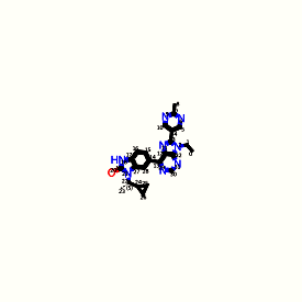 CCn1c(-c2cnc(C)nc2)nc2c(-c3ccc4[nH]c(=O)n([C@@H](C)C5CC5)c4c3)ncnc21